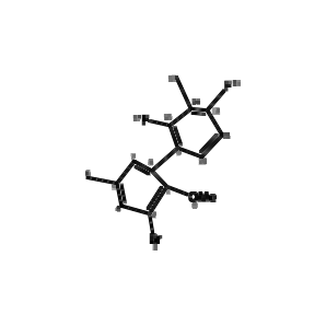 COc1c(Br)cc(C)cc1-c1ccc(F)c(C)c1F